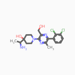 Cc1nc(N2CCC(O)(C(C)N)CC2)c(CO)nc1-c1cccc(Cl)c1Cl